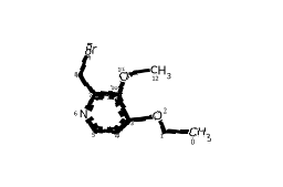 CCOc1ccnc(CBr)c1OC